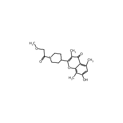 COCC(=O)N1CCC(c2oc3c(C)c(O)cc(C)c3c(=O)c2C)CC1